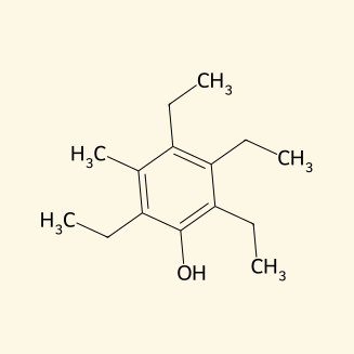 CCc1c(C)c(CC)c(CC)c(CC)c1O